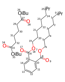 CC(C)CCCCCCOC(=O)c1ccccc1C(=O)OCCCCCCC(C)C.CC(C)COC(=O)CCCCC(=O)OCC(C)C